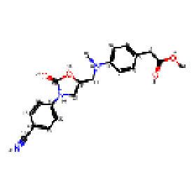 COC(=O)Cc1ccc(N(C)CC2CN(c3ccc(C#N)cc3)C(=O)O2)cc1